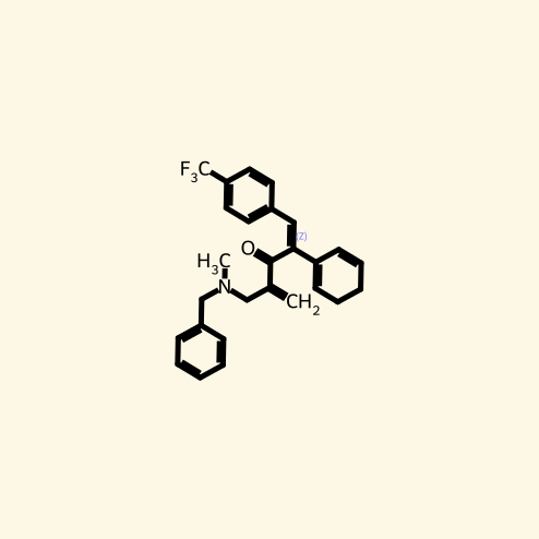 C=C(CN(C)Cc1ccccc1)C(=O)/C(=C\c1ccc(C(F)(F)F)cc1)C1=CCCC=C1